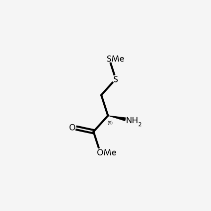 COC(=O)[C@H](N)CSSC